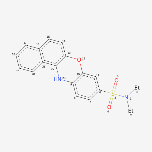 CCN(CC)S(=O)(=O)c1ccc2c(c1)Oc1ccc3ccccc3c1N2